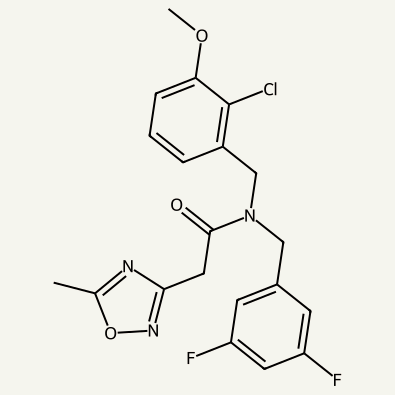 COc1cccc(CN(Cc2cc(F)cc(F)c2)C(=O)Cc2noc(C)n2)c1Cl